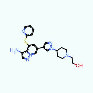 Nc1cnn2cc(-c3cnn(C4CCN(CCO)CC4)c3)cc(Sc3ccccn3)c12